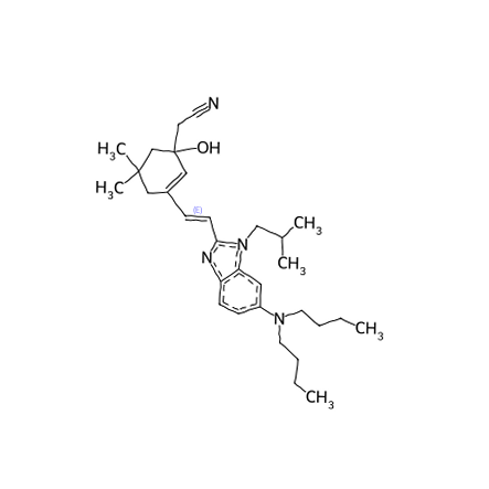 CCCCN(CCCC)c1ccc2nc(/C=C/C3=CC(O)(CC#N)CC(C)(C)C3)n(CC(C)C)c2c1